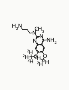 [2H]C([2H])([2H])Oc1cc2nc(N(C)CCCN)nc(N)c2cc1OC([2H])([2H])[2H]